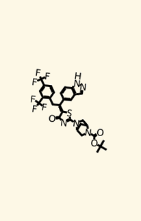 CC(C)(C)OC(=O)N1CC2CC1CN2C1=NC(=O)C(=C(Cc2ccc(C(F)(F)F)cc2C(F)(F)F)c2ccc3[nH]ncc3c2)S1